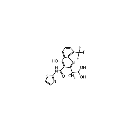 CC(c1nc2c(C(F)(F)F)cccc2c(O)c1C(=O)Nc1nccs1)C(O)O